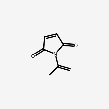 C=C(C)N1C(=O)C=CC1=O